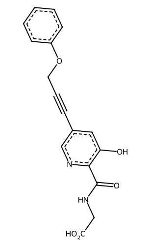 O=C(O)CNC(=O)c1ncc(C#CCOc2ccccc2)cc1O